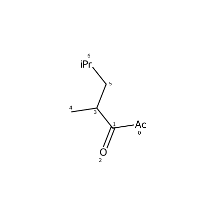 CC(=O)C(=O)C(C)CC(C)C